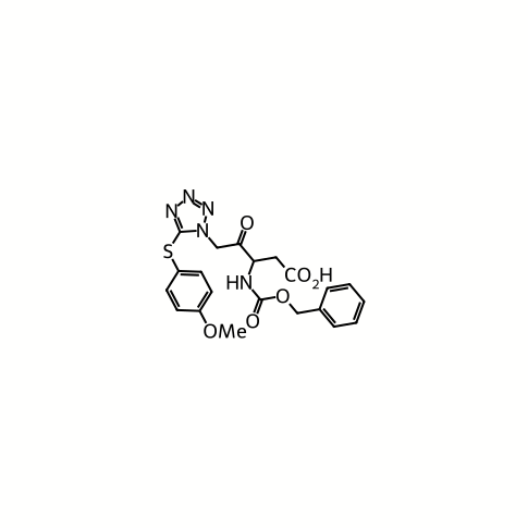 COc1ccc(Sc2nnnn2CC(=O)C(CC(=O)O)NC(=O)OCc2ccccc2)cc1